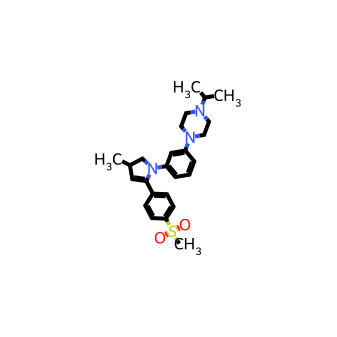 CC1C=C(c2ccc(S(C)(=O)=O)cc2)N(c2cccc(N3CCN(C(C)C)CC3)c2)C1